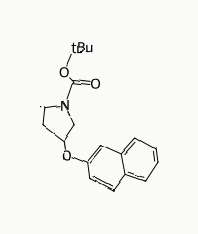 CC(C)(C)OC(=O)N1[CH]CC(Oc2ccc3ccccc3c2)C1